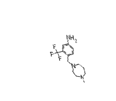 CN1CCCN(Cc2ccc(N)cc2C(F)(F)F)CC1